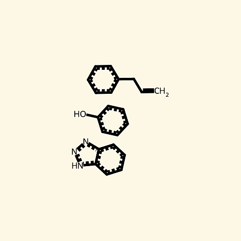 C=CCc1ccccc1.Oc1ccccc1.c1ccc2[nH]nnc2c1